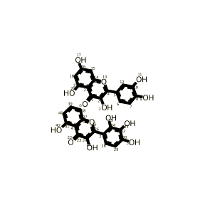 O=c1c(O)c(-c2ccc(O)c(O)c2)oc2cc(O)cc(O)c12.O=c1c(O)c(-c2ccc(O)c(O)c2O)oc2cccc(O)c12